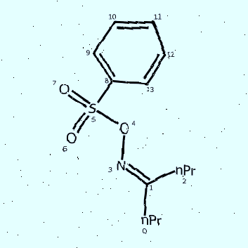 CCCC(CCC)=NOS(=O)(=O)c1ccccc1